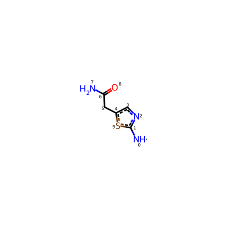 [NH]c1ncc(CC(N)=O)s1